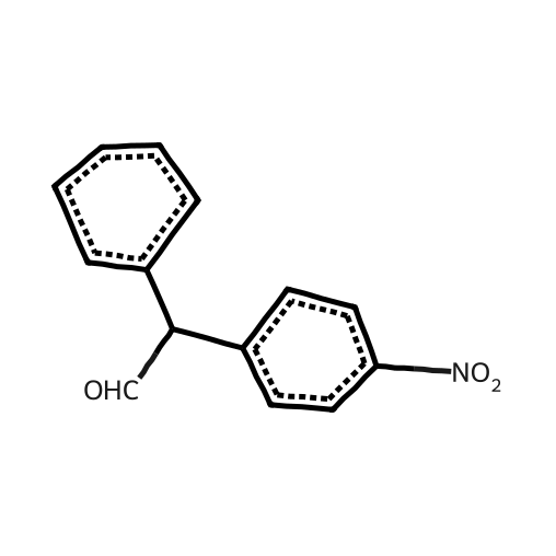 O=CC(c1ccccc1)c1ccc([N+](=O)[O-])cc1